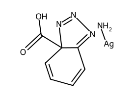 O=C(O)C12C=CC=CC1=NN=N2.[NH2][Ag]